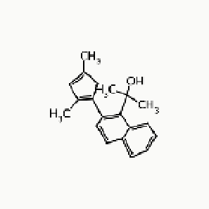 CC1=CC(C)=C(c2ccc3ccccc3c2C(C)(C)O)C1